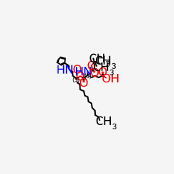 CCCCCCCCCCCCC[C@@H](CC(=O)NCc1ccccc1)OC(=O)[C@H](CCCC(=O)O)NC(=O)OC(C)(C)C